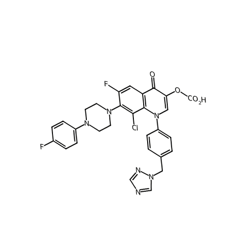 O=C(O)Oc1cn(-c2ccc(Cn3cncn3)cc2)c2c(Cl)c(N3CCN(c4ccc(F)cc4)CC3)c(F)cc2c1=O